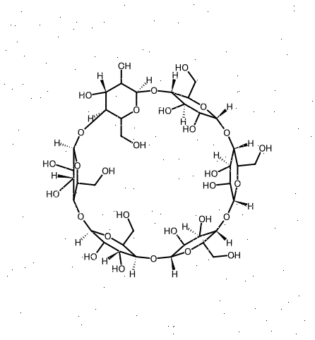 OCC1O[C@@H]2O[C@@H]3C(CO)O[C@H](O[C@@H]4C(CO)O[C@H](O[C@@H]5C(CO)O[C@H](O[C@@H]6C(CO)O[C@H](O[C@@H]7C(CO)O[C@H](OC1[C@H](O)C2O)C(O)[C@H]7O)C(O)[C@H]6O)C(O)[C@H]5O)C(O)[C@H]4O)C(O)[C@H]3O